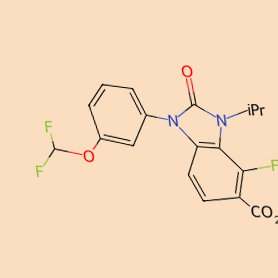 CC(C)n1c(=O)n(-c2cccc(OC(F)F)c2)c2ccc(C(=O)O)c(F)c21